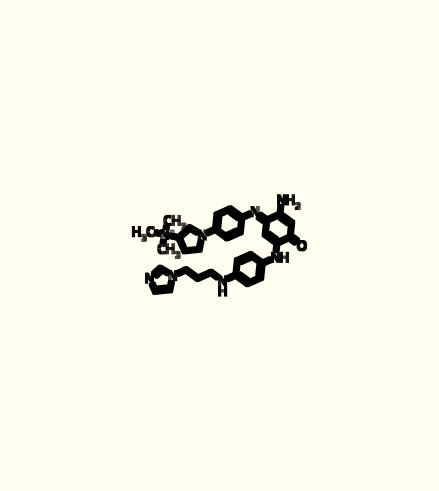 C[N+](C)(C)C1CCN(c2ccc(/N=C3\C=C(Nc4ccc(NCCCn5ccnc5)cc4)C(=O)C=C3N)cc2)C1